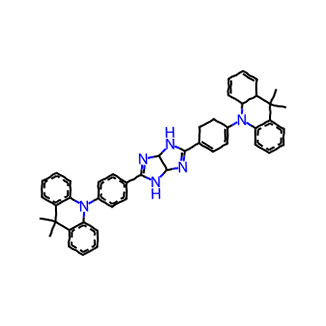 CC1(C)c2ccccc2N(c2ccc(C3=NC4NC(C5=CC=C(N6c7ccccc7C(C)(C)C7C=CC=CC76)CC5)=NC4N3)cc2)c2ccccc21